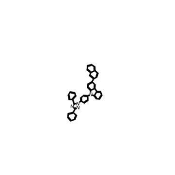 c1ccc(-c2nc(-c3ccccc3)n(-c3ccc(-n4c5ccccc5c5cc(-c6ccc7ccccc7c6)ccc54)cc3)n2)cc1